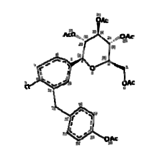 CC(=O)OC[C@H]1O[C@@H](c2ccc(Cl)c(Cc3ccc(OC(C)=O)cc3)c2)[C@H](OC(C)=O)[C@@H](OC(C)=O)[C@@H]1OC(C)=O